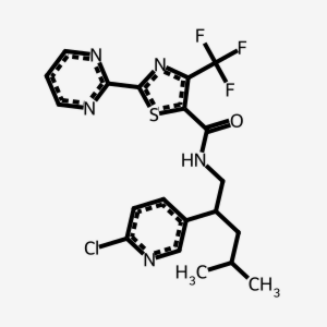 CC(C)CC(CNC(=O)c1sc(-c2ncccn2)nc1C(F)(F)F)c1ccc(Cl)nc1